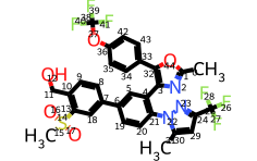 Cc1nc(-c2cc(-c3ccc(CO)c(S(C)(=O)=O)c3)ccc2-n2nc(C(F)(F)F)cc2C)c(-c2ccc(OC(F)(F)F)cc2)o1